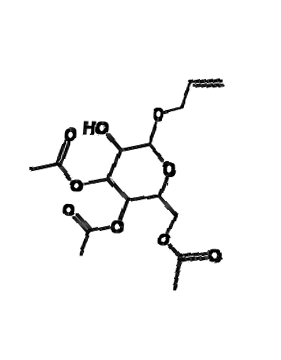 C=CCOC1OC(COC(C)=O)C(OC(C)=O)C(OC(C)=O)C1O